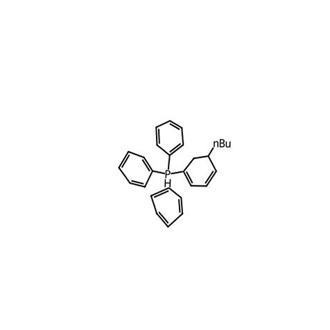 CCCCC1C=CC=C([PH](c2ccccc2)(c2ccccc2)c2ccccc2)C1